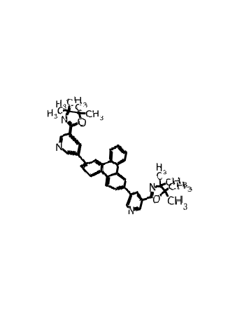 CC1(C)N=C(c2cncc(-c3ccc4c5ccc(-c6cncc(C7=NC(C)(C)C(C)(C)O7)c6)cc5c5ccccc5c4c3)c2)OC1(C)C